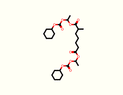 CC(OC(=O)CCCCC(C)C(=O)OC(C)OC(=O)OC1CCCCC1)OC(=O)OC1CCCCC1